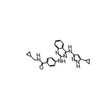 O=C(NCC1CC1)c1ccc(Nc2nc(Nc3cc(C4CC4)[nH]n3)c3ccccc3n2)cc1